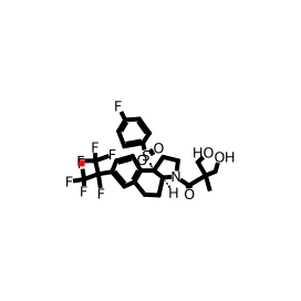 CC(CO)(CO)C(=O)N1CC[C@]2(S(=O)(=O)c3ccc(F)cc3)c3ccc(C(F)(C(F)(F)F)C(F)(F)F)cc3CC[C@H]12